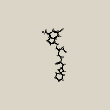 COC(CCn1cnc2c(N)nc(F)nc21)COC(=O)OC1CC2(CCCCC2)C1